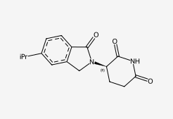 CC(C)c1ccc2c(c1)CN([C@@H]1CCC(=O)NC1=O)C2=O